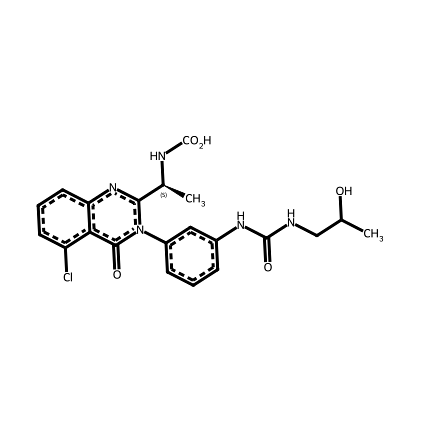 CC(O)CNC(=O)Nc1cccc(-n2c([C@H](C)NC(=O)O)nc3cccc(Cl)c3c2=O)c1